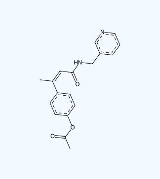 CC(=O)Oc1ccc(/C(C)=C\C(=O)NCc2cccnc2)cc1